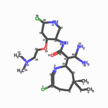 CC[C@]1(C)CCC(Cl)=C=NC(C(C(=O)NC2CNC(Cl)CC2OCCN(C)C)C(N)N)C1